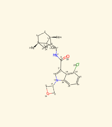 C[C@H]1[C@H]2CC[C@@H]1C(CNC(=O)c1cn(C3COC3)c3cccc(Cl)c13)C2